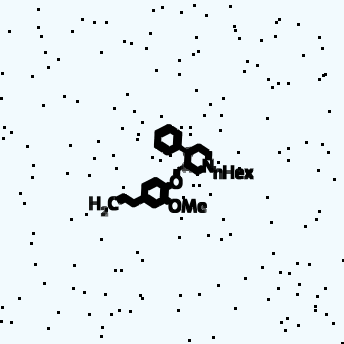 C=CCc1ccc(OC[C@H]2CN(CCCCCC)CC[C@@H]2c2ccccc2)c(OC)c1